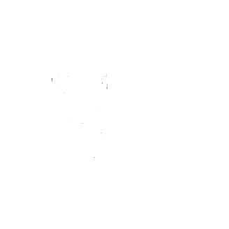 COC(=O)OC1(NC(=O)c2ccc(Cl)s2)CC2OC2C1